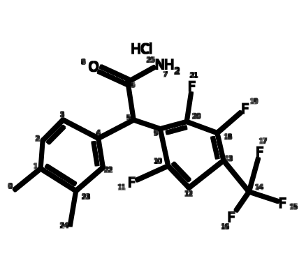 Cc1ccc(C(C(N)=O)c2c(F)cc(C(F)(F)F)c(F)c2F)cc1C.Cl